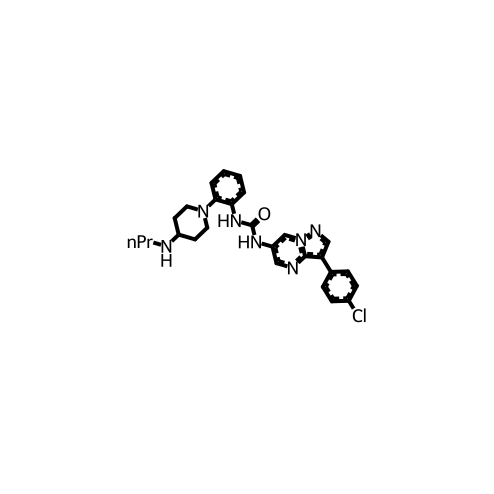 CCCNC1CCN(c2ccccc2NC(=O)Nc2cnc3c(-c4ccc(Cl)cc4)cnn3c2)CC1